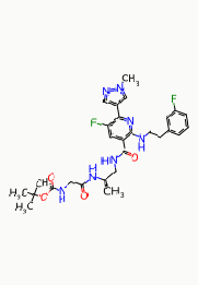 C[C@H](CNC(=O)c1cc(F)c(-c2cnn(C)c2)nc1NCCc1cccc(F)c1)NC(=O)CNC(=O)OC(C)(C)C